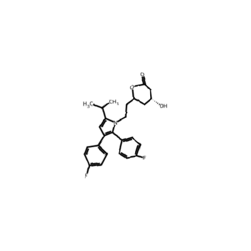 CC(C)c1cc(-c2ccc(F)cc2)c(-c2ccc(F)cc2)n1CCC1C[C@@H](O)CC(=O)O1